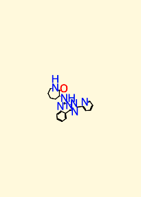 O=C1NCCCC[C@H]1Nc1nc2ccccc2c2nc(-c3ccccn3)nn12